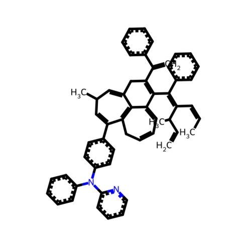 C=CC(C)C(/C=C\C)=C(\C1=C(C(=C)c2ccccc2)CC2=CC(C)C=C(c3ccc(N(c4ccccc4)c4ccccn4)cc3)C3=C2C1=CC=CC3)c1ccccc1